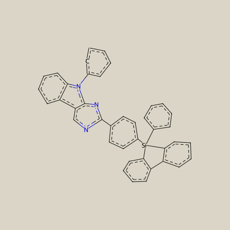 c1ccc(-n2c3ccccc3c3cnc(-c4ccc([Si]5(c6ccccc6)c6ccccc6-c6ccccc65)cc4)nc32)cc1